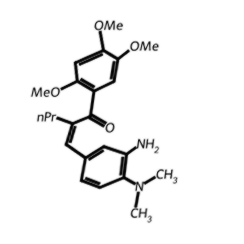 CCCC(=Cc1ccc(N(C)C)c(N)c1)C(=O)c1cc(OC)c(OC)cc1OC